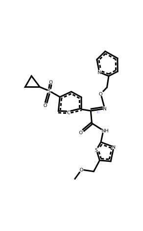 COCc1cnc(NC(=O)/C(=N/OCc2ccccn2)c2ccc(S(=O)(=O)C3CC3)cc2)s1